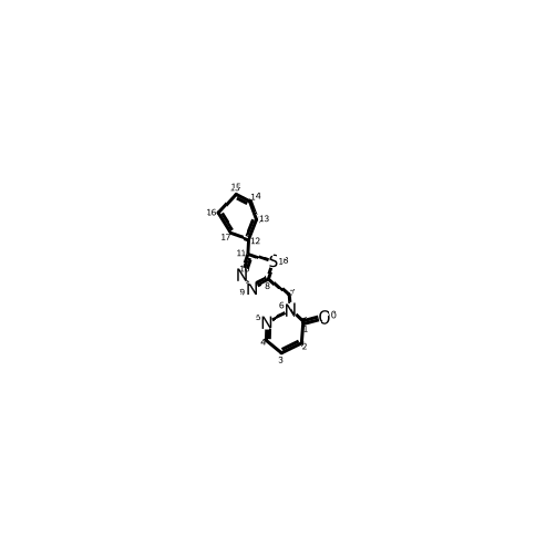 O=c1cccnn1Cc1nnc(-c2ccccc2)s1